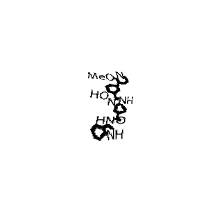 COc1ncccc1-c1ccc(O)c(-c2nc3cc(C(=O)Nc4c[nH]c5ccccc45)ccc3[nH]2)c1